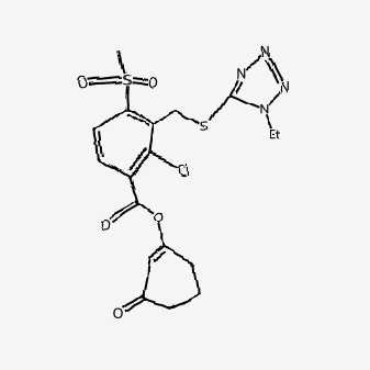 CCn1nnnc1SCc1c(S(C)(=O)=O)ccc(C(=O)OC2=CC(=O)CCC2)c1Cl